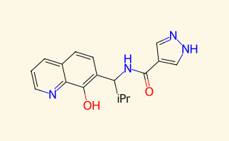 CC(C)C(NC(=O)c1cn[nH]c1)c1ccc2cccnc2c1O